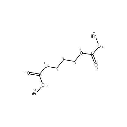 CC(C)OC(=O)OCCCOC(=O)OC(C)C